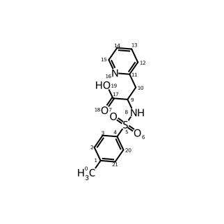 Cc1ccc(S(=O)(=O)NC(Cc2ccccn2)C(=O)O)cc1